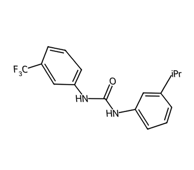 CC(C)c1cccc(NC(=O)Nc2cccc(C(F)(F)F)c2)c1